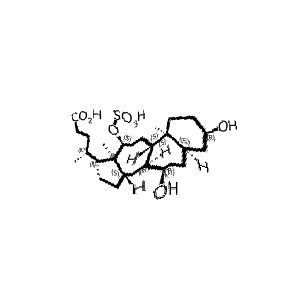 C[C@H](CCC(=O)O)[C@H]1CC[C@H]2[C@@H]3[C@H](O)C[C@@H]4C[C@H](O)CC[C@]4(C)[C@H]3C[C@H](OS(=O)(=O)O)[C@]12C